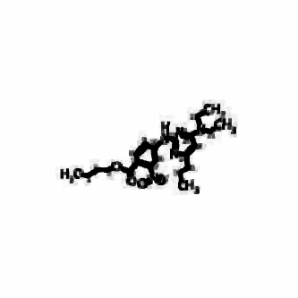 CCCCOC(=O)c1ccc(Nc2nc(CCC)cc(N(CC)CC)n2)cc1[N+](=O)[O-]